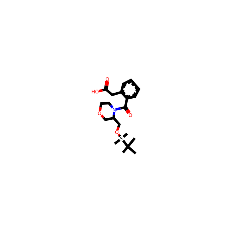 CC(C)(C)[Si](C)(C)OCC1COCCN1C(=O)c1ccccc1CC(=O)O